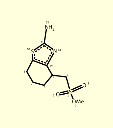 COS(=O)(=O)CC1CCCc2sc(N)nc21